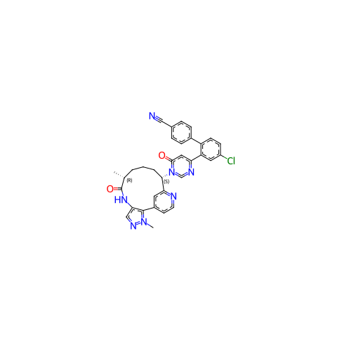 C[C@@H]1CCC[C@H](n2cnc(-c3cc(Cl)ccc3-c3ccc(C#N)cc3)cc2=O)c2cc(ccn2)-c2c(cnn2C)NC1=O